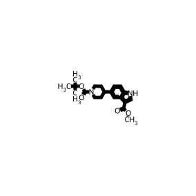 COC(=O)c1c[nH]c2ccc(C3CCN(C(=O)OC(C)(C)C)CC3)cc12